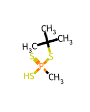 CC(C)(C)SP(C)(=S)S